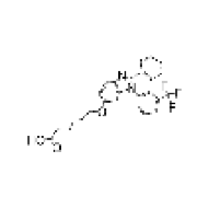 O=C(O)CCCCCOc1ccc2nc(-c3ccccc3)n(-c3cccc(C(F)(F)F)c3)c2c1